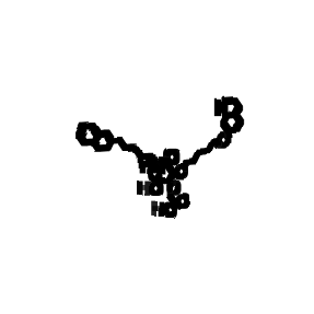 O=C(O)COC(C(=O)O)C(OCCCCCOc1ccc2cccnc2c1)C(=O)NCCCCCc1ccc2ccccc2c1